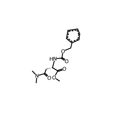 COC(=O)[C@H](CC(=O)N(C)C)NC(=O)OCc1ccccc1